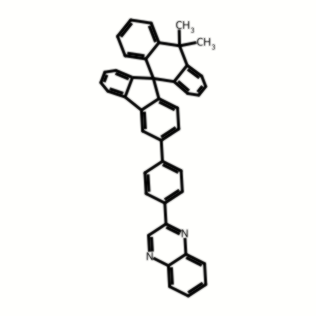 CC1(C)c2ccccc2C2(c3ccccc3-c3cc(-c4ccc(-c5cnc6ccccc6n5)cc4)ccc32)c2ccccc21